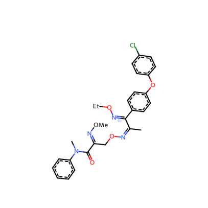 CCO/N=C(/C(C)=NOCC(=NOC)C(=O)N(C)c1ccccc1)c1ccc(Oc2ccc(Cl)cc2)cc1